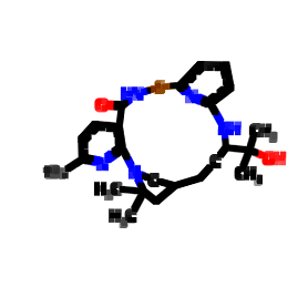 CC(C)(C)c1ccc2c(n1)N1CC(CCC(C(C)(C)O)Nc3cccc(n3)SNC2=O)CC1(C)C